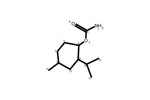 CC1CCC(OC(N)=O)C(C(C)C)C1